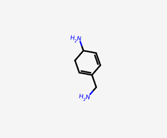 NCC1=CCC(N)C=C1